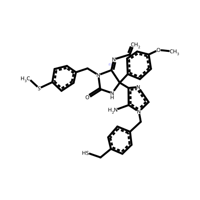 C=C/N=C1/N(Cc2ccc(SC)cc2)C(=O)NC1(c1ccc(OC)cc1)c1ncn(Cc2ccc(CS)cc2)c1N